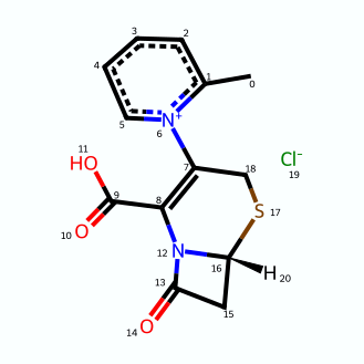 Cc1cccc[n+]1C1=C(C(=O)O)N2C(=O)C[C@H]2SC1.[Cl-]